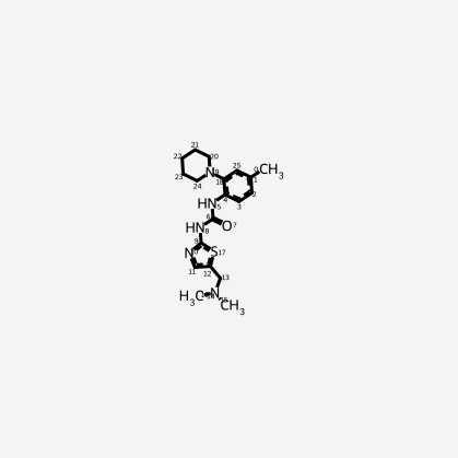 Cc1ccc(NC(=O)Nc2ncc(CN(C)C)s2)c(N2CCCCC2)c1